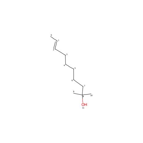 CC=CCCCCCC(C)(C)O